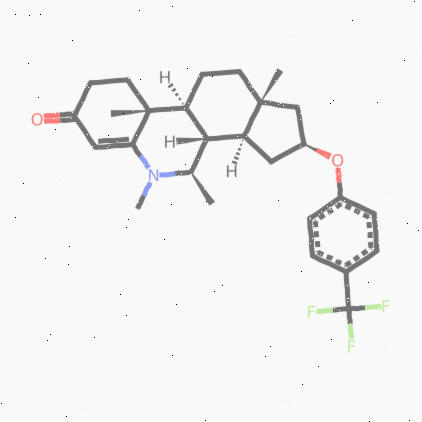 C[C@@H]1[C@H]2[C@@H]3C[C@H](Oc4ccc(C(F)(F)F)cc4)C[C@@]3(C)CC[C@@H]2[C@@]2(C)CCC(=O)C=C2N1C